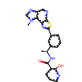 C[C@H](NC(=O)c1cccnc1O)c1cccc(-c2nc3c(ncc4ncn(C)c43)s2)c1